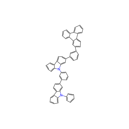 c1ccc(-n2c3ccccc3c3ccc(-c4cccc(-n5c6ccccc6c6ccc(-c7cccc(-c8ccc9c%10ccccc%10c%10ccccc%10c9c8)c7)cc65)c4)cc32)cc1